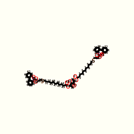 O=C(CCCCCCCCCCSCCOP1(=O)Oc2ccccc2-c2ccccc21)O[C@H]1COC2C1OC[C@H]2OC(=O)CCCCCCCCCCSCCOP1(=O)Oc2ccccc2-c2ccccc21